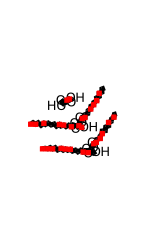 CCCCCCCCCCCCCCCCCC(=O)OC(CO)COC(=O)CCCCCCCCCCCCCCC.CCCCCCCCCCCCCCCCCC(=O)OC(CO)COC(=O)CCCCCCCCCCCCCCC.O=C(O)CCC(=O)O